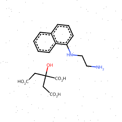 NCCNc1cccc2ccccc12.O=C(O)CC(O)(CC(=O)O)C(=O)O